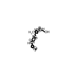 Cc1cc(NS(=O)(=O)NCCCO)ccc1C=CS(=O)(=O)N1CCC2(CC1)N=C(c1cccc(OC(F)(F)F)c1)NC2=O